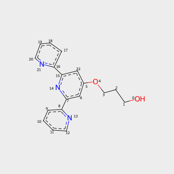 OCCCOc1cc(-c2ccccn2)nc(-c2ccccn2)c1